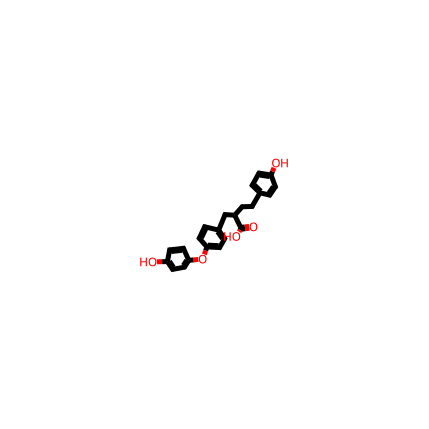 O=C(O)C(CCc1ccc(O)cc1)Cc1ccc(Oc2ccc(O)cc2)cc1